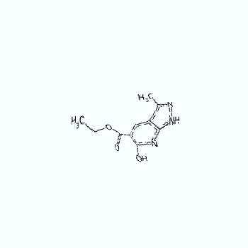 CCOC(=O)c1cc2c(C)n[nH]c2nc1O